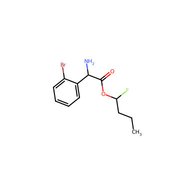 CCCC(F)OC(=O)C(N)c1ccccc1Br